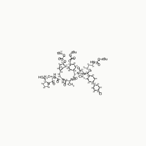 C[C@@H]1NC(=O)[C@@H](N(C)C(=O)[C@H](CCCCNC(=O)OC(C)(C)C)NC(=O)c2ccc(-c3ccc(Cl)cc3)cc2)c2ccc(OC(=O)OC(C)(C)C)c(c2)-c2cc(ccc2OC(=O)OC(C)(C)C)C[C@@H](C(=O)N[C@@H](C)C(=O)N2CCC[C@H]2CO)NC1=O